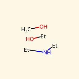 CCNCC.CCO.CO